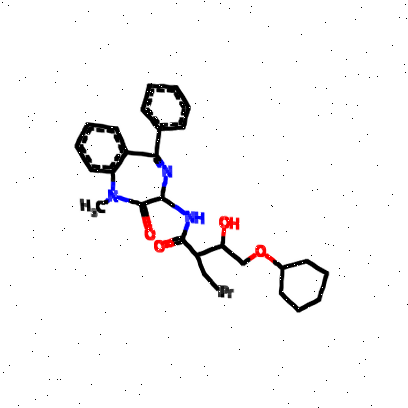 CC(C)CC(C(=O)NC1N=C(c2ccccc2)c2ccccc2N(C)C1=O)C(O)COC1CCCCC1